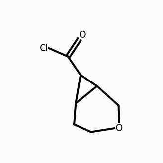 O=C(Cl)C1C2CCOCC21